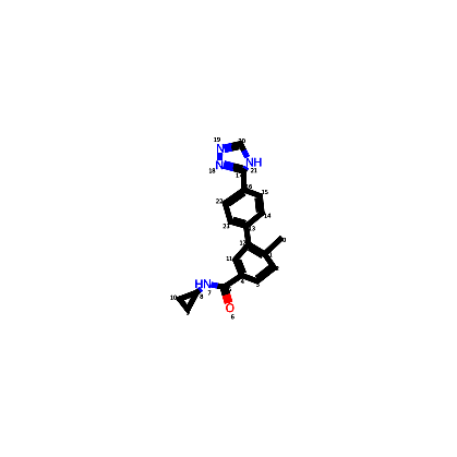 Cc1ccc(C(=O)NC2CC2)cc1-c1ccc(-c2nnc[nH]2)cc1